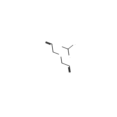 C=CCOCC=C.CC(S)S